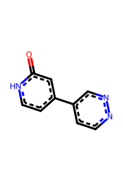 O=c1cc(-c2ccnnc2)cc[nH]1